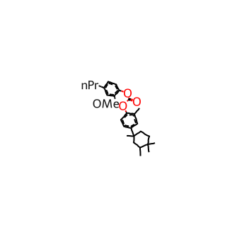 CCCc1ccc(OC(=O)Oc2ccc(C3(C)CCC(C)(C)C(C)C3)cc2C)c(OC)c1